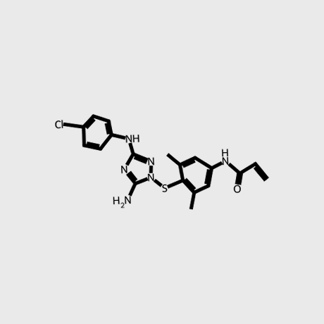 C=CC(=O)Nc1cc(C)c(Sn2nc(Nc3ccc(Cl)cc3)nc2N)c(C)c1